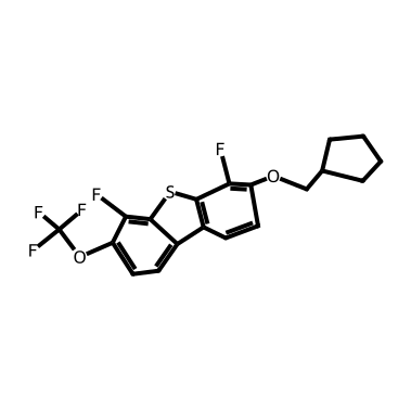 Fc1c(OCC2CCCC2)ccc2c1sc1c(F)c(OC(F)(F)F)ccc12